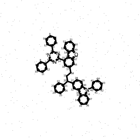 c1ccc(-c2nc(-c3ccccc3)nc(-c3cc(CCC(c4ccccc4)c4ccc5c(c4)c4ccccc4n5-c4ccccc4)cc4oc5ccccc5c34)n2)cc1